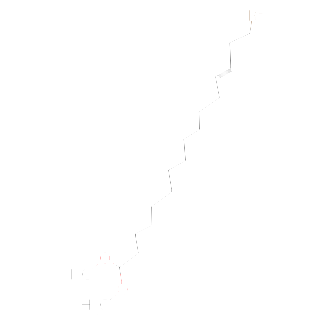 COC(CCCCCCCCCCC/C=C/CCBr)OC